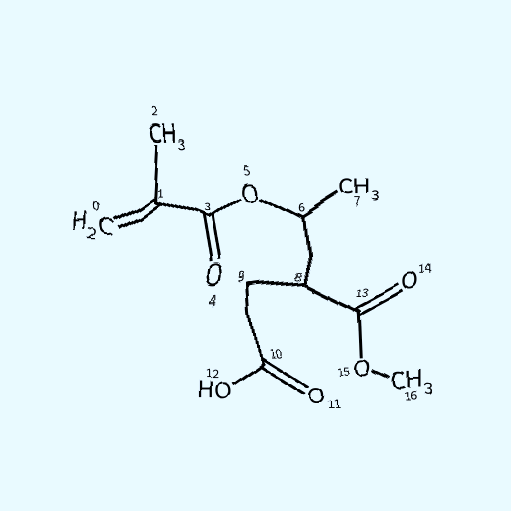 C=C(C)C(=O)OC(C)C(CC(=O)O)C(=O)OC